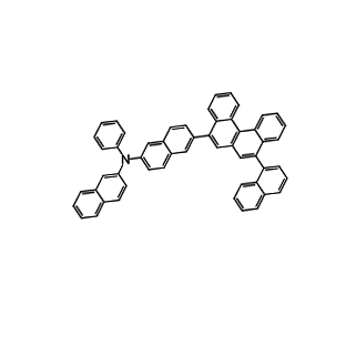 c1ccc(N(c2ccc3ccccc3c2)c2ccc3cc(-c4cc5cc(-c6cccc7ccccc67)c6ccccc6c5c5ccccc45)ccc3c2)cc1